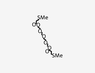 CSCCC(=O)OCCOCCOCCOCCOC(=O)CCSC